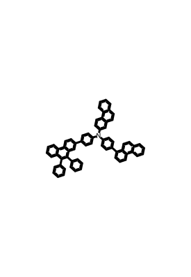 c1ccc(-c2c(-c3ccccc3)c3cc(-c4ccc(N(c5ccc(-c6cccc7c6ccc6ccccc67)cc5)c5ccc6c(ccc7ccccc76)c5)cc4)ccc3c3ccccc23)cc1